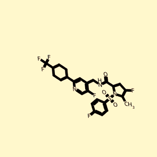 CC1C(F)CC(C(=O)NCc2cc(C3CCC(C(F)(F)F)CC3)ncc2F)N1S(=O)(=O)c1ccc(F)cc1